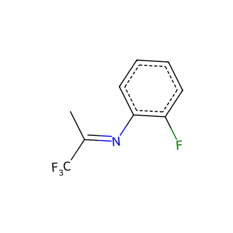 C/C(=N\c1ccccc1F)C(F)(F)F